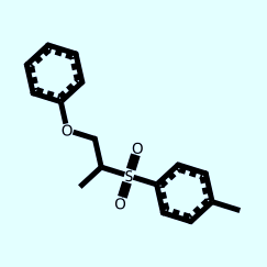 Cc1ccc(S(=O)(=O)C(C)COc2ccccc2)cc1